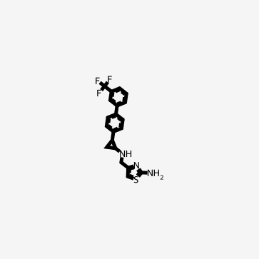 Nc1nc(CNC2CC2c2ccc(-c3cccc(C(F)(F)F)c3)cc2)cs1